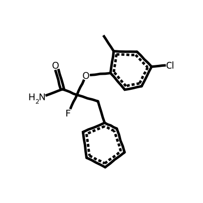 Cc1cc(Cl)ccc1OC(F)(Cc1ccccc1)C(N)=O